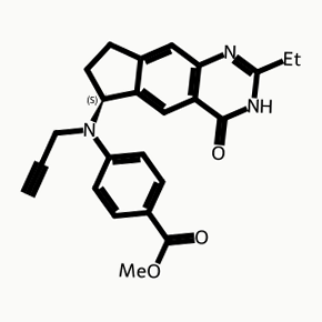 C#CCN(c1ccc(C(=O)OC)cc1)[C@H]1CCc2cc3nc(CC)[nH]c(=O)c3cc21